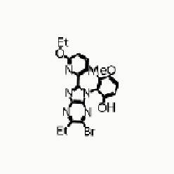 CCOC1=NC(c2nc3nc(CC)c(Br)nc3n2-c2c(O)cccc2OC)=C=C=C1